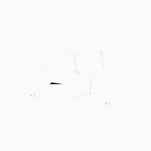 COC(=O)[C@@H]1C=C(OC)C2=CC(=O)CC(=O)N21